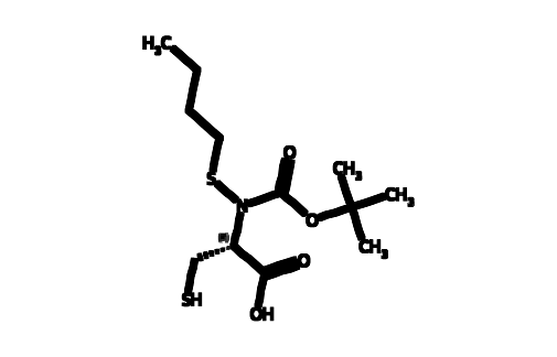 CCCCSN(C(=O)OC(C)(C)C)[C@@H](CS)C(=O)O